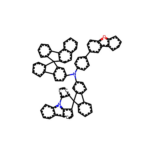 c1ccc2c(c1)-c1ccc(N(c3ccc(-c4ccc5oc6ccccc6c5c4)cc3)c3ccc4c(c3)C3(c5ccccc5-4)c4ccccc4-n4c5ccccc5c5cccc3c54)cc1C21c2ccccc2-c2c1ccc1ccccc21